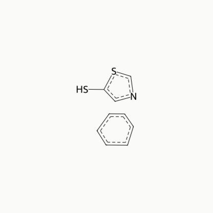 Sc1cncs1.c1ccccc1